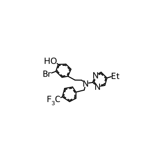 CCc1cnc(N(CCc2ccc(O)c(Br)c2)Cc2ccc(C(F)(F)F)cc2)nc1